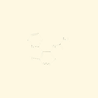 NC(=O)Nc1cccc(Cl)c1-c1ccccn1